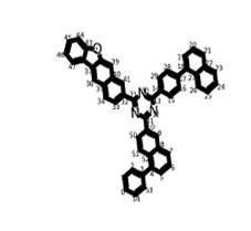 c1ccc(-c2cccc3cc(-c4nc(-c5ccc(-c6cccc7ccccc67)cc5)nc(-c5ccc6cc7c(cc6c5)oc5ccccc57)n4)ccc23)cc1